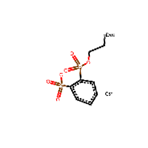 CCCCCCCCCCCCOS(=O)(=O)c1ccccc1S(=O)(=O)[O-].[Cs+]